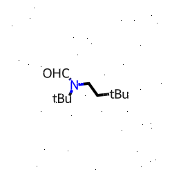 CC(C)(C)CCN(C=O)C(C)(C)C